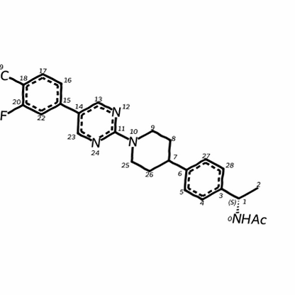 CC(=O)N[C@@H](C)c1ccc(C2CCN(c3ncc(-c4ccc(C#N)c(F)c4)cn3)CC2)cc1